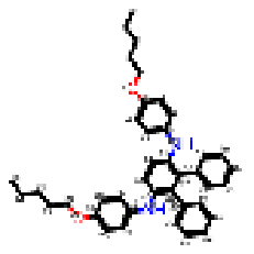 CCCCCOc1ccc(Nc2ccc(Nc3ccc(OCCCCC)cc3)c(-c3ccccc3)c2-c2ccccc2)cc1